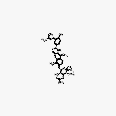 CO[C@@H]1[C@@H](OC(N)=O)[C@@H](O)[C@H](Oc2ccc3c(C)c(NC(=O)c4ccc(O)c(CC=C(C)C)c4)c(=O)oc3c2C)OC1(C)C